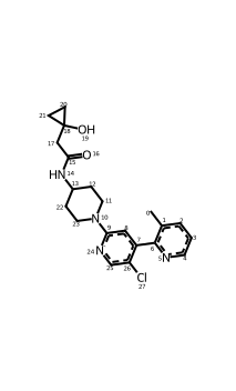 Cc1cccnc1-c1cc(N2CCC(NC(=O)CC3(O)CC3)CC2)ncc1Cl